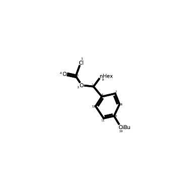 CCCCCCC(OC(=O)Cl)c1ccc(OCC(C)C)cc1